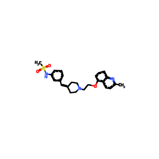 Cc1ccc2c(OCCN3CCC(=Cc4cccc(NS(C)(=O)=O)c4)CC3)cccc2n1